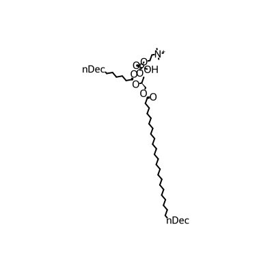 CCCCCCCCCCCCCCCCCCCCCCCCCCCCCCCCCC(=O)OC[C@H](COP(=O)(O)OCC[N+](C)(C)C)OC(=O)CCCCCCCCCCCCCCC